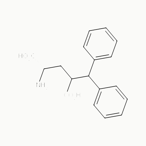 N[C@@H](CC(C(=O)O)C(c1ccccc1)c1ccccc1)C(=O)O